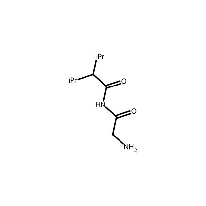 CC(C)C(C(=O)NC(=O)CN)C(C)C